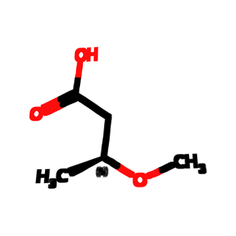 CO[C@@H](C)CC(=O)O